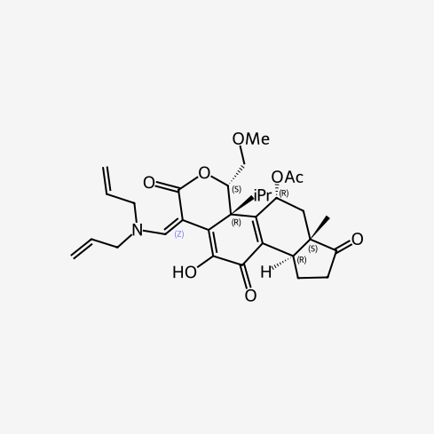 C=CCN(/C=C1\C(=O)O[C@H](COC)[C@@]2(C(C)C)C1=C(O)C(=O)C1=C2[C@H](OC(C)=O)C[C@]2(C)C(=O)CC[C@@H]12)CC=C